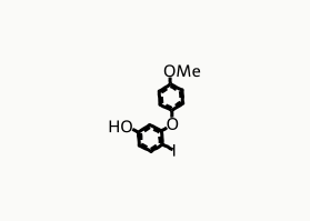 COc1ccc(Oc2cc(O)ccc2I)cc1